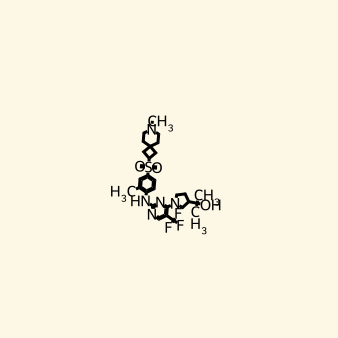 Cc1cc(S(=O)(=O)C2CC3(CCN(C)CC3)C2)ccc1Nc1ncc(C(F)(F)F)c(N2CCC(C(C)(C)O)C2)n1